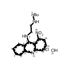 CCCCNCCNc1c2ccccc2nc2cccc([N+](=O)[O-])c12.Cl.Cl